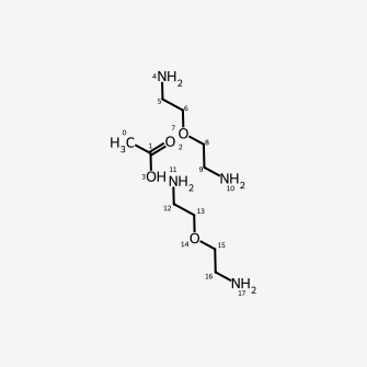 CC(=O)O.NCCOCCN.NCCOCCN